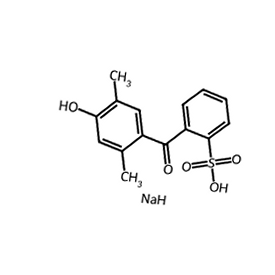 Cc1cc(C(=O)c2ccccc2S(=O)(=O)O)c(C)cc1O.[NaH]